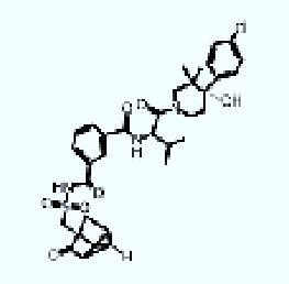 CC(C)[C@@H](NC(=O)c1cccc(C(=O)NS(=O)(=O)C[C@]23CC4[C@@H]5C(C2=O)C453)c1)C(=O)N1CC[C@](O)(c2ccc(Cl)cc2)C(C)(C)C1